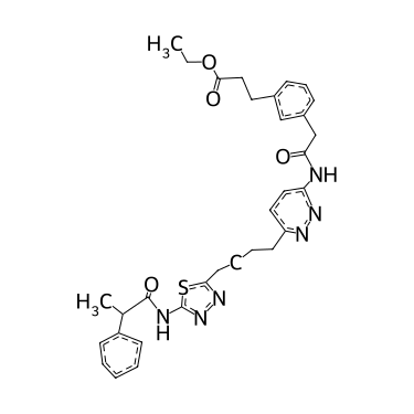 CCOC(=O)CCc1cccc(CC(=O)Nc2ccc(CCCCc3nnc(NC(=O)C(C)c4ccccc4)s3)nn2)c1